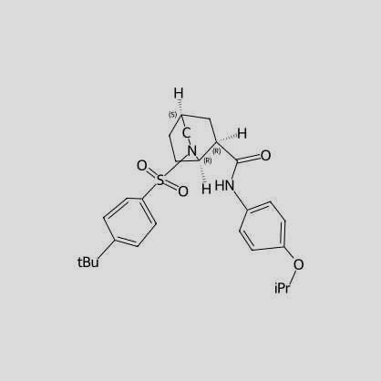 CC(C)Oc1ccc(NC(=O)[C@@H]2C[C@@H]3CC[C@H]2N(S(=O)(=O)c2ccc(C(C)(C)C)cc2)C3)cc1